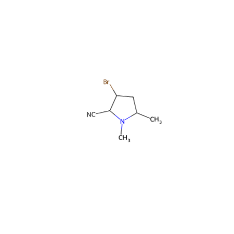 CC1CC(Br)C(C#N)N1C